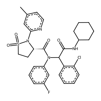 Cc1ccnc(N2[C@H](C(=O)N(c3cccc(F)c3)C(C(=O)NC3CCCCC3)c3ccccc3Cl)CCS2(=O)=O)c1